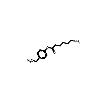 CCc1ccc(OC(=O)CCCCCN)cc1